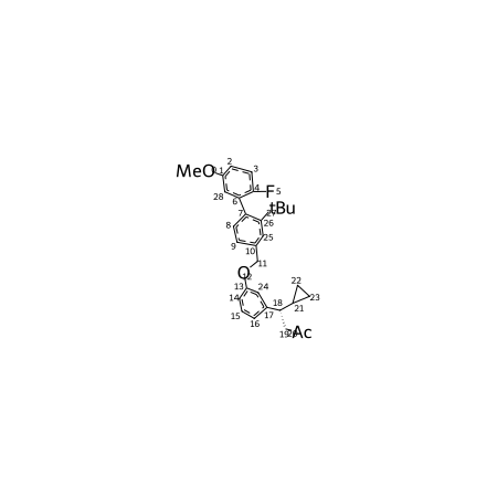 COc1ccc(F)c(-c2ccc(COc3cccc([C@@H](CC(C)=O)C4CC4)c3)cc2C(C)(C)C)c1